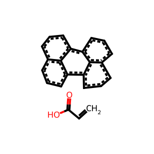 C=CC(=O)O.c1cc2cccc3c4cccc5cccc(c(c1)c23)c54